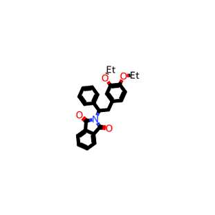 CCOc1ccc(CC(c2ccccc2)N2C(=O)c3ccccc3C2=O)cc1OCC